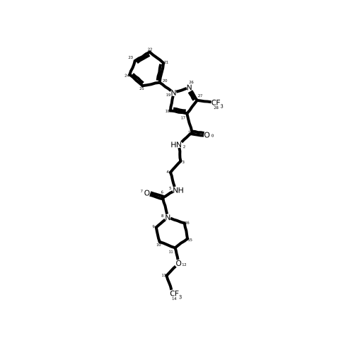 O=C(NCCNC(=O)N1CCC(OCC(F)(F)F)CC1)c1cn(-c2ccccc2)nc1C(F)(F)F